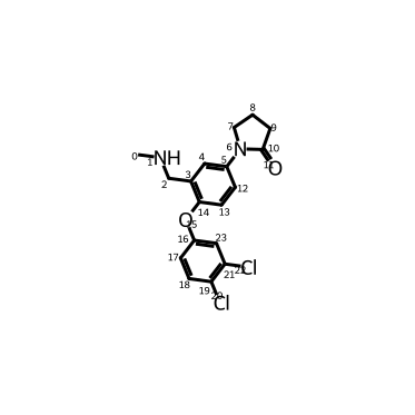 CNCc1cc(N2CCCC2=O)ccc1Oc1ccc(Cl)c(Cl)c1